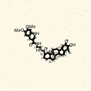 COc1cc2c(cc1OC)NC=C(C(=O)NCCNC(=O)[C@]1(C)CC[C@]3(C)CC[C@]4(C)C5=CC=C6C(=CC(=O)C(O)=C6C)[C@]5(C)CC[C@@]4(C)[C@@H]3C1)C2